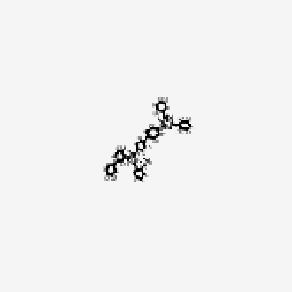 N#Cc1ccccc1-c1nc(-c2ccc(-c3ccc(-c4nc(-c5ccccc5)nc(-c5ccccc5)n4)cc3)cc2)nc(-c2cccc(-c3ccccc3)c2)n1